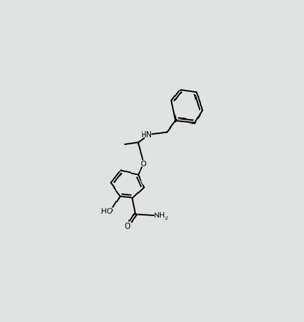 CC(NCc1ccccc1)Oc1ccc(O)c(C(N)=O)c1